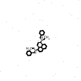 C=C[SiH](Cc1ccccc1)c1ccc2cccc3c2c1C=CC3[SiH](C=C)Cc1ccccc1